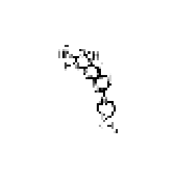 CCNC(=O)NC1N=c2nc(N3CCCN(C)CC3)cnc2=CC1C